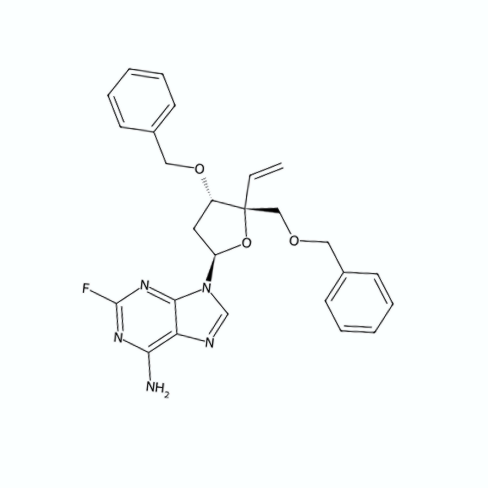 C=C[C@]1(COCc2ccccc2)O[C@@H](n2cnc3c(N)nc(F)nc32)C[C@@H]1OCc1ccccc1